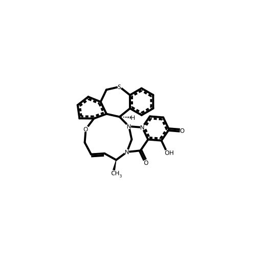 C[C@H]1/C=C/COc2cccc3c2[C@@H](c2ccccc2SC3)N2CN1C(=O)c1c(O)c(=O)ccn12